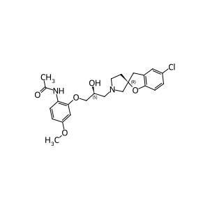 COc1ccc(NC(C)=O)c(OC[C@@H](O)CN2CC[C@]3(Cc4cc(Cl)ccc4O3)C2)c1